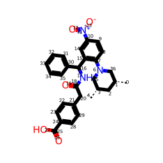 C[C@@H]1C[C@H](C)CN(c2ccc([N+](=O)[O-])cc2C(NC(=O)Cc2ccc(C(=O)O)cc2)c2ccccc2)C1